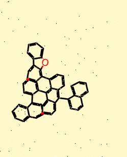 c1ccc(-c2c3ccccc3c(-c3cccc4ccccc34)c3cccc(-c4cccc5c4oc4ccccc45)c23)c(-c2cccc3ccccc23)c1